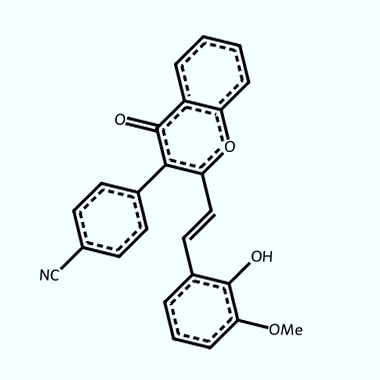 COc1cccc(C=Cc2oc3ccccc3c(=O)c2-c2ccc(C#N)cc2)c1O